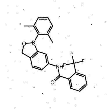 Cc1cccc(C)c1B1OCc2ccc(NC(=O)c3ccccc3C(F)(F)F)cc21